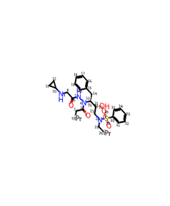 CC(C)CC(=O)N(NC(=O)CNC1CC1)[C@@H](Cc1ccccc1)[C@H](O)CN(CC(C)C)S(=O)(=O)c1ccccc1